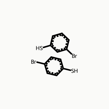 Sc1ccc(Br)cc1.Sc1cccc(Br)c1